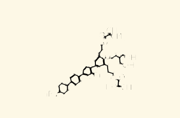 C=C(C)C(=O)OCCCc1cc(-c2ccc(-c3ccc(C4CCC(CCCC)CC4)cc3)cc2CC)cc(CCCOC(=O)C(=C)C)c1OCCC(CO)CO